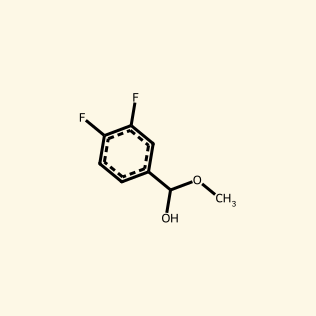 COC(O)c1ccc(F)c(F)c1